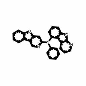 c1ccc(N(c2cc3oc4ccccc4c3cn2)c2cccc3oc4ncccc4c23)cc1